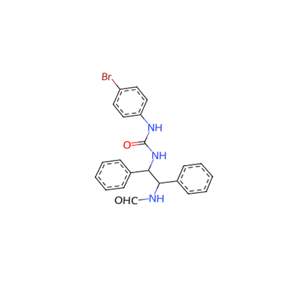 O=CNC(c1ccccc1)C(NC(=O)Nc1ccc(Br)cc1)c1ccccc1